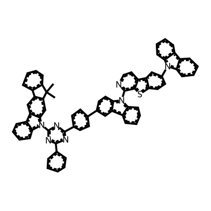 CC1(C)c2ccccc2-c2cc3c4ccccc4n(-c4nc(-c5ccccc5)nc(-c5ccc(-c6ccc7c(c6)c6ccccc6n7-c6nccc7c6sc6ccc(-n8c9ccccc9c9ccccc98)cc67)cc5)n4)c3cc21